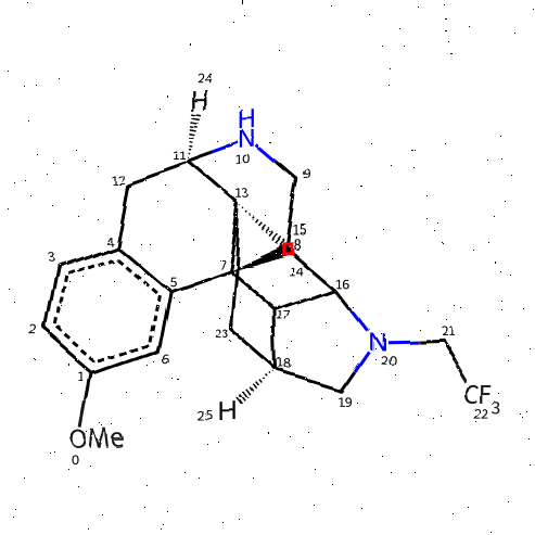 COc1ccc2c(c1)[C@]13CCN[C@H](C2)[C@]12CCC1C3[C@@H](CN1CC(F)(F)F)C2